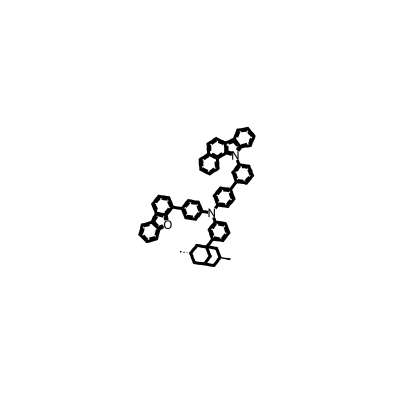 C[C@H]1CC2C[C@H](C)CC(c3cccc(N(c4ccc(-c5cccc(-n6c7ccccc7c7ccc8ccccc8c76)c5)cc4)c4ccc(-c5cccc6c5oc5ccccc56)cc4)c3)(C2)C1